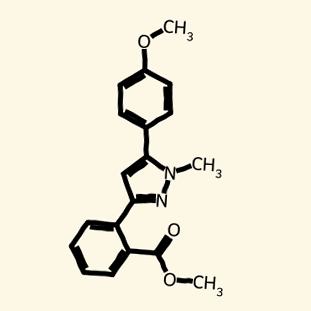 COC(=O)c1ccccc1-c1cc(-c2ccc(OC)cc2)n(C)n1